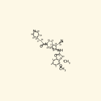 COc1ccccc1[C@@H](C)CC(=O)Nc1sc2c(c1C#N)CCN(C(=O)CCc1ccncc1)C2